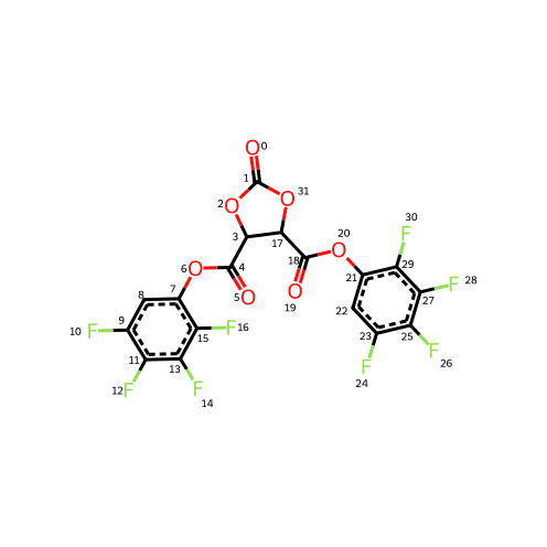 O=C1OC(C(=O)Oc2cc(F)c(F)c(F)c2F)C(C(=O)Oc2cc(F)c(F)c(F)c2F)O1